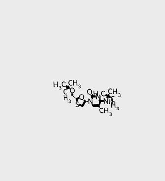 Cc1cn([C@@H]2CS[C@H](COC(C)(C)C)O2)c(=O)nc1NC(C)(C)C